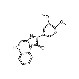 COc1ccc(-c2nc3c[nH]c4ccccc4n-3c2=O)cc1OC